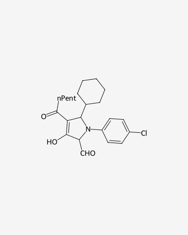 CCCCCC(=O)C1=C(O)C(C=O)N(c2ccc(Cl)cc2)C1C1CCCCC1